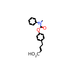 CN(C(=O)Oc1ccc(CC=CC(=O)O)cc1)c1ccccc1